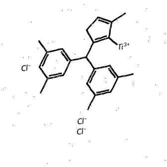 CC1=CCC(C(c2cc(C)cc(C)c2)c2cc(C)cc(C)c2)=[C]1[Ti+3].[Cl-].[Cl-].[Cl-]